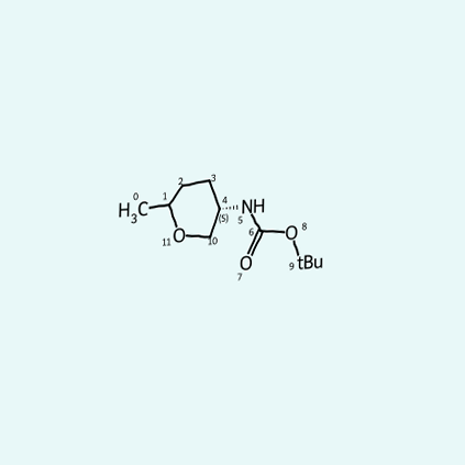 CC1CC[C@H](NC(=O)OC(C)(C)C)CO1